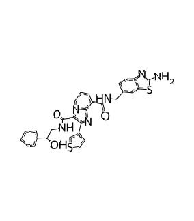 Nc1nc2ccc(CNC(=O)c3cccn4c(C(=O)NC[C@@H](O)c5ccccc5)c(-c5ccsc5)nc34)cc2s1